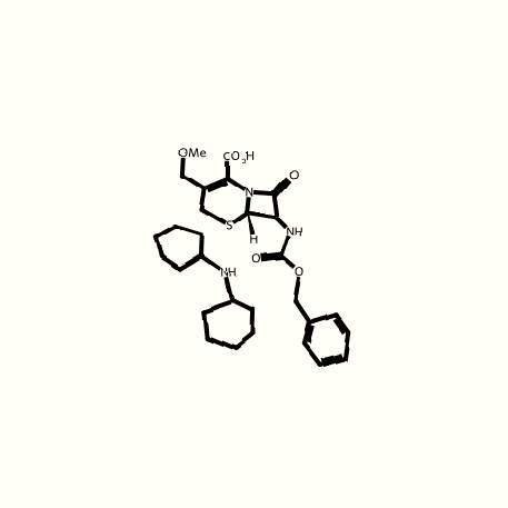 C1CCC(NC2CCCCC2)CC1.COCC1=C(C(=O)O)N2C(=O)C(NC(=O)OCc3ccccc3)[C@@H]2SC1